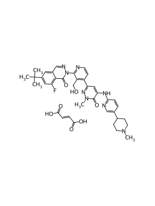 CN1CCC(c2ccc(Nc3cc(-c4ccnc(-n5ncc6cc(C(C)(C)C)cc(F)c6c5=O)c4CO)nn(C)c3=O)nc2)CC1.O=C(O)C=CC(=O)O